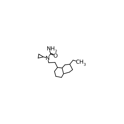 CCC1CCC2CCCC(CCN(C(N)=O)C3CC3)C2C1